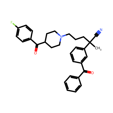 CC(C#N)(CCCN1CCC(C(=O)c2ccc(F)cc2)CC1)c1cccc(C(=O)c2ccccc2)c1